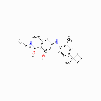 COc1cc(Nc2ccc(C3(C)CCC3)cc2C)cc(O)c1C(=O)NCC(F)(F)F